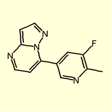 Cc1ncc(-c2ccnc3ccnn23)cc1F